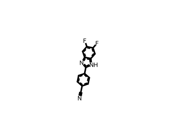 N#Cc1ccc(-c2nc3cc(F)c(F)cc3[nH]2)cc1